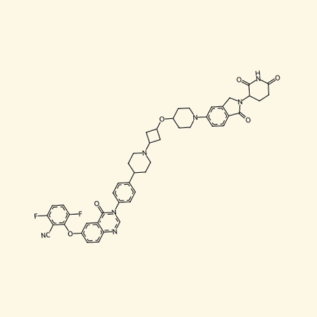 N#Cc1c(F)ccc(F)c1Oc1ccc2ncn(-c3ccc(C4CCN(C5CC(OC6CCN(c7ccc8c(c7)CN(C7CCC(=O)NC7=O)C8=O)CC6)C5)CC4)cc3)c(=O)c2c1